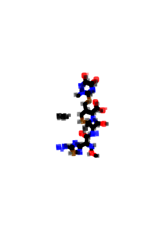 CON=C(C(=O)NC1C(=O)N2C(C(=O)[O-])=C(CSc3nc(=O)c([O-])nn3C)CS[C@@H]12)c1nsc(N)n1.[Na+].[Na+]